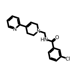 O=C(NCN1CC=C(c2ccccn2)CC1)c1cccc(Cl)c1